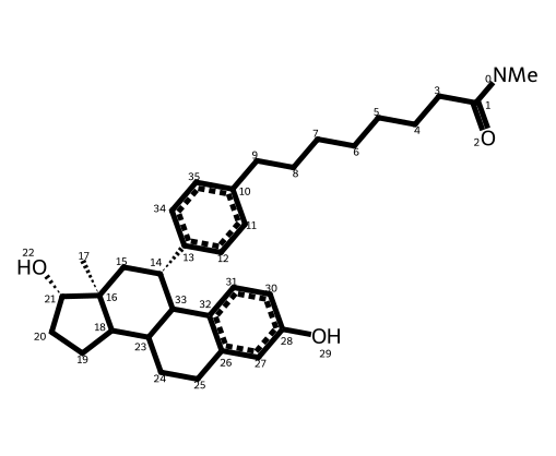 CNC(=O)CCCCCCCc1ccc([C@H]2C[C@@]3(C)C(CC[C@@H]3O)C3CCc4cc(O)ccc4C32)cc1